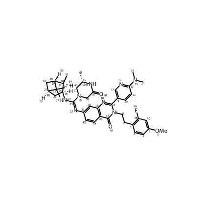 COc1ccc(CCn2c(-c3ccc(N(C)C)nc3)nc3cc(N=C(N[C@H]4C[C@H]5C[C@H]([C@H]4C)C5(C)C)N4CC(=O)N[C@@H](C)C4)ccc3c2=O)c(F)c1